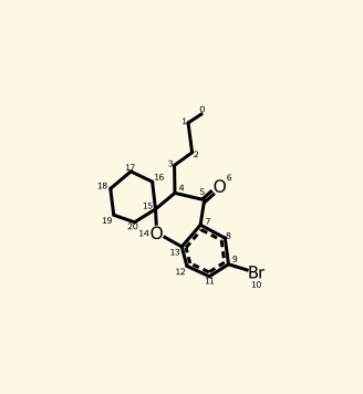 CCCCC1C(=O)c2cc(Br)ccc2OC12CCCCC2